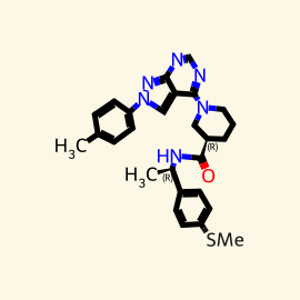 CSc1ccc([C@@H](C)NC(=O)[C@@H]2CCCN(c3ncnc4nn(-c5ccc(C)cc5)cc34)C2)cc1